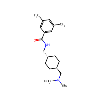 CC(C)(C)N(C[C@H]1CC[C@H](CNC(=O)c2cc(C(F)(F)F)cc(C(F)(F)F)c2)CC1)C(=O)O